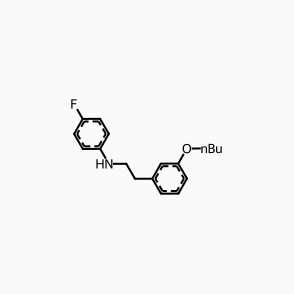 CCCCOc1cccc(CCNc2ccc(F)cc2)c1